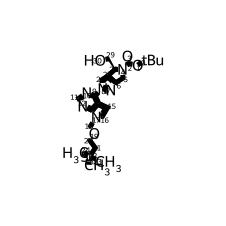 CC(C)(C)OC(=O)N1Cc2nn(-c3ncnc4c3ccn4COCC[Si](C)(C)C)cc2[C@H]1CO